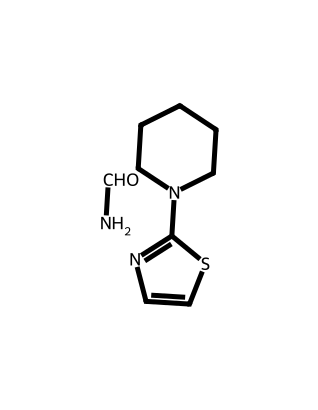 NC=O.c1csc(N2CCCCC2)n1